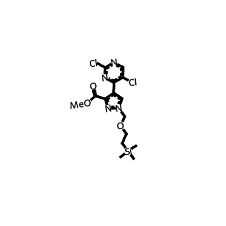 COC(=O)c1nn(COCC[Si](C)(C)C)cc1-c1nc(Cl)ncc1Cl